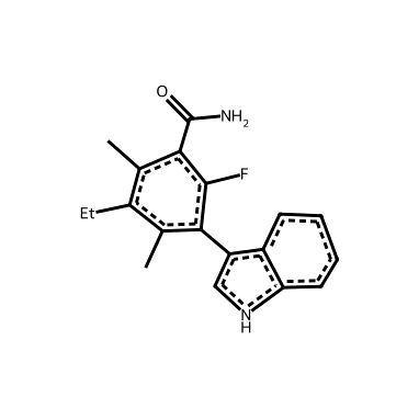 CCc1c(C)c(C(N)=O)c(F)c(-c2c[nH]c3ccccc23)c1C